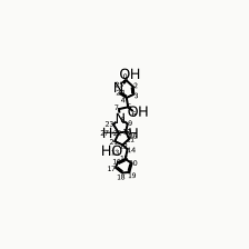 Oc1ccc(C(O)CN2C[C@@H]3C[C@](O)(Cc4ccccc4)C[C@@H]3C2)cn1